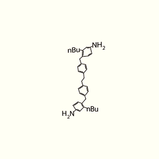 CCCCc1cc(N)ccc1Cc1ccc(CCc2ccc(Cc3ccc(N)cc3CCCC)cc2)cc1